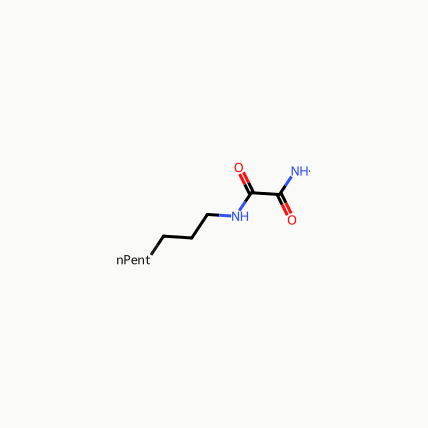 CCCCCCCCNC(=O)C([NH])=O